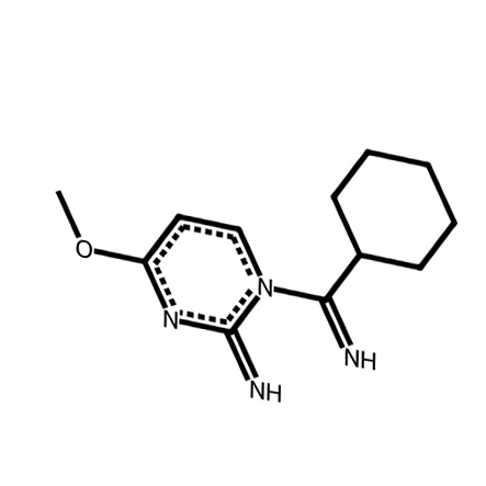 COc1ccn(C(=N)C2CCCCC2)c(=N)n1